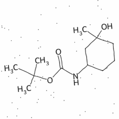 CC1(O)CCCC(NC(=O)OC(C)(C)C)C1